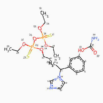 CC(c1ccccc1)n1ccnc1.CCOP(=S)(OCC)OP(=S)(OCC)OCC.NC(=O)O